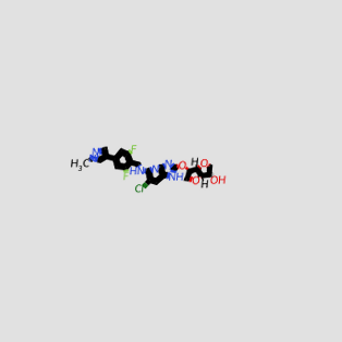 Cn1cc(-c2cc(F)c(CNc3nc4nc(O[C@@H]5CO[C@H]6[C@@H]5OC[C@H]6O)[nH]c4cc3Cl)c(F)c2)cn1